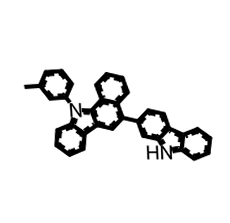 Cc1cccc(-n2c3ccccc3c3cc(-c4ccc5c(c4)[nH]c4ccccc45)c4ccccc4c32)c1